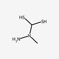 CN(N)C(S)S